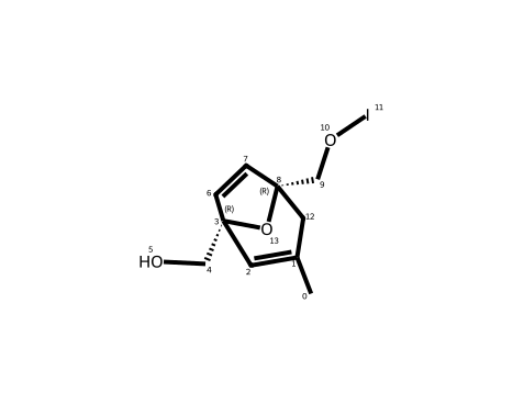 CC1=C[C@@]2(CO)C=C[C@@](COI)(C1)O2